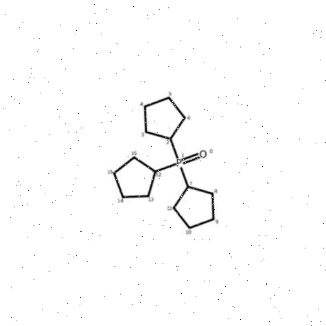 O=P(C1CCCC1)(C1CCCC1)C1CCCC1